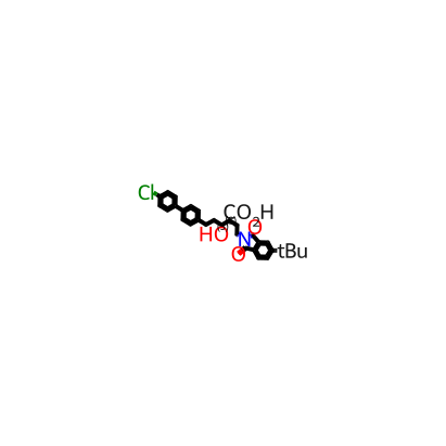 CC(C)(C)c1ccc2c(c1)C(=O)N(CC[C@H](C(=O)O)[C@@H](O)CCc1ccc(-c3ccc(Cl)cc3)cc1)C2=O